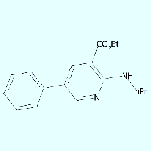 CCCNc1ncc(-c2ccccc2)cc1C(=O)OCC